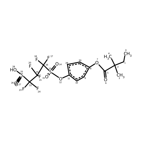 CCC(C)(C)C(=O)Oc1ccc(OS(=O)(=O)C(F)(F)C(F)(F)C(F)(F)S(=O)(=O)O)cc1